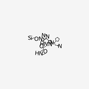 C[Si](C)(C)CCOCn1ccc2c(-c3cn(C(CC#N)C4CCCC4)nc3NCC(=O)C3CNCCO3)ncnc21